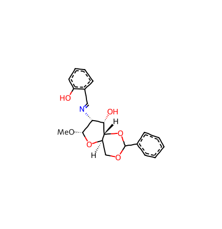 CO[C@H]1O[C@@H]2COC(c3ccccc3)O[C@H]2[C@@H](O)[C@H]1N=Cc1ccccc1O